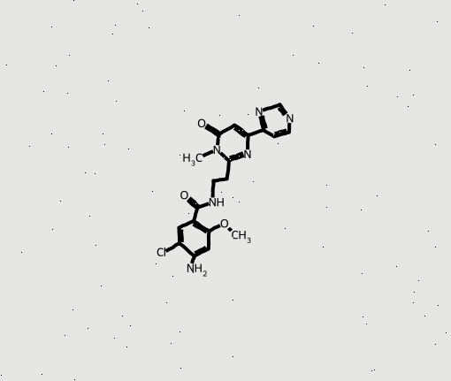 COc1cc(N)c(Cl)cc1C(=O)NCCc1nc(-c2ccncn2)cc(=O)n1C